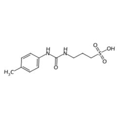 Cc1ccc(NC(=O)NCCCS(=O)(=O)O)cc1